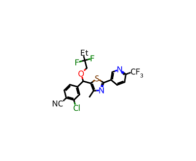 CCC(F)(F)COC(c1ccc(C#N)c(Cl)c1)c1sc(-c2ccc(C(F)(F)F)nc2)nc1C